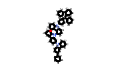 c1ccc(-c2ccc3c(c2)c2ccccc2n3-c2ccc3c4ccccc4n(-c4cccc5c4c4ccccc4n5-c4ccc([Si](c5ccccc5)(c5ccccc5)c5ccccc5)cc4)c3c2)cc1